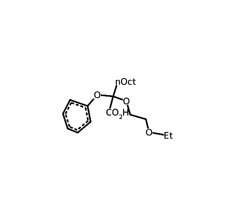 CCCCCCCCC(OCCOCC)(Oc1ccccc1)C(=O)O